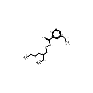 CCCCC([CH]OOC(=O)c1cccc(OC)c1)CC